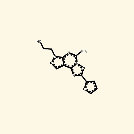 Nc1nc2c(cnn2CCO)c2nc(-c3ccco3)nn12